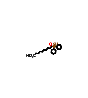 O=C(O)CCCCCCCCC(=O)S(S)(C1CCCCC1)C1CCCCC1